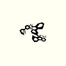 OC1(c2ccc3c(c2)c2ccccc2c2nc4ccc(-c5ccccn5)cc4n32)C2C=CC=CC2C2C=CC=CC21